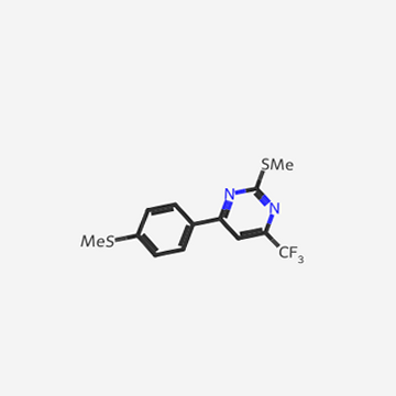 CSc1ccc(-c2cc(C(F)(F)F)nc(SC)n2)cc1